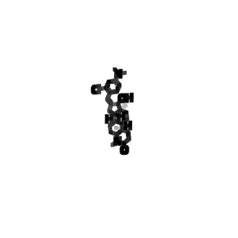 CN(C)c1ccc(C=C2C[C@H]3[C@@H]4CCC5N(C)C(=O)C=C[C@]5(C)[C@@H]4CC[C@]3(C)C2O)c(Cl)c1